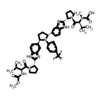 COC(=O)N[C@H](C(=O)N1CCC[C@H]1c1nc2cc([C@H]3CC[C@H](c4ccc5[nH]c([C@@H]6CCCN6C(=O)[C@H](C(C)C)N(C)C(=O)O)nc5c4)N3c3ccc(C(F)(F)F)cc3)ccc2[nH]1)C(C)C